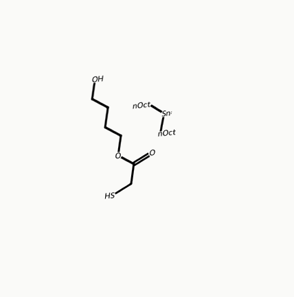 CCCCCCC[CH2][Sn][CH2]CCCCCCC.O=C(CS)OCCCCO